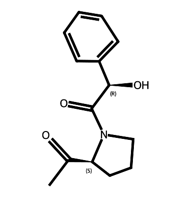 CC(=O)[C@@H]1CCCN1C(=O)[C@H](O)c1ccccc1